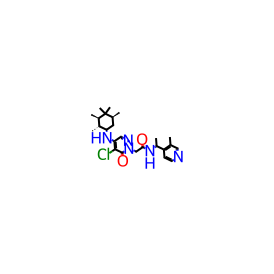 Cc1cnccc1C(C)NC(=O)Cn1ncc(N[C@@H]2C[C@H](C)C(C)(C)[C@H](C)[C@H]2C)c(Cl)c1=O